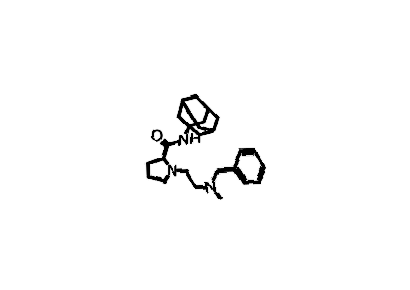 CN(CCN1CCCC1C(=O)NC12CC3CC(CC(C3)C1)C2)Cc1ccccc1